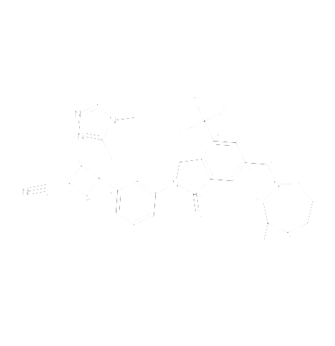 Cn1cnnc1C[C@]1(c2cccc(N3Cc4c(cc(CN5CCCCC(F)(F)C5)cc4C(F)(F)F)C3=O)c2)C[C@H](C#N)C1